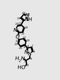 NC(CO)Cn1ccc(-c2ccc(Oc3ccc(-c4ccn[nH]4)cn3)cc2)n1